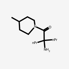 CCCC(N)(CCC)C(=O)N1CCC(C)CC1